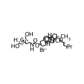 CC(C)CCCC(C)[C@H]1CC[C@H]2[C@@H]3CC=C4C[C@@H](OC(=O)NCC[N+](C)(CCO)CCO)CC[C@]4(C)[C@H]3CC[C@]12C.[Br-]